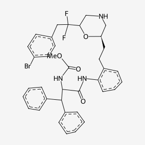 COC(=O)NC(C(=O)Nc1ccccc1CC[C@@H]1CNCC(C(F)(F)Cc2ccc(Br)cc2)O1)C(c1ccccc1)c1ccccc1